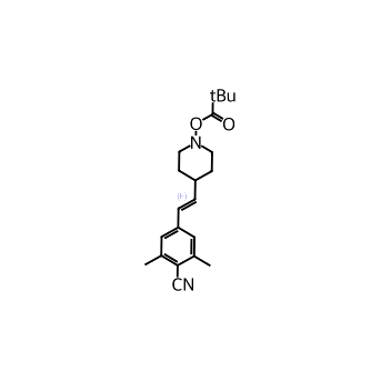 Cc1cc(/C=C/C2CCN(OC(=O)C(C)(C)C)CC2)cc(C)c1C#N